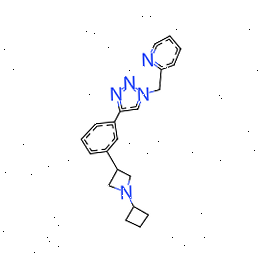 c1ccc(Cn2cc(-c3cccc(C4CN(C5CCC5)C4)c3)nn2)nc1